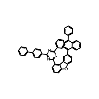 c1ccc(-c2ccc(-c3nc(-c4ccccc4)nc(-c4cccc5oc6ccc(-c7ccc(-c8ccccc8)c8ccccc78)cc6c45)n3)cc2)cc1